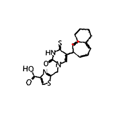 O=C(O)c1csc(Cn2cc(C3C=CC=C4CCCCC45CC=CC=C35)c(=S)[nH]c2=O)n1